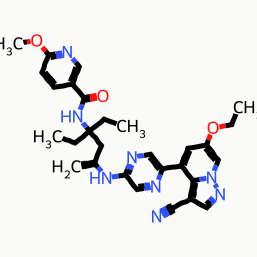 C=C(CC(CC)(CC)NC(=O)c1ccc(OC)nc1)Nc1cnc(-c2cc(OCC)cn3ncc(C#N)c23)cn1